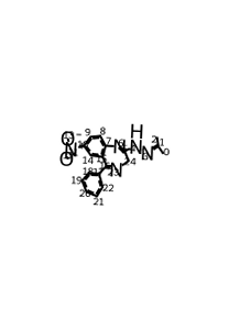 CC(C)=NNC1=Nc2ccc([N+](=O)[O-])cc2C(c2ccccc2)=NC1